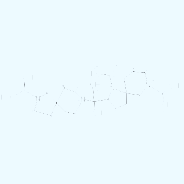 CC(C)N1CCC2(CCN(C(C)(C)C3CCC4(CCCN(C(C)C)C4)N3C(C)C)CC2)C1